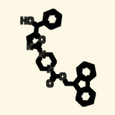 O=C(OCC1c2ccccc2-c2ccccc21)N1CCN(c2ncc(C(O)c3ccccc3)o2)CC1